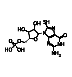 Nc1nc2c(nc(S)n2[C@@H]2O[C@H](COP(=O)(O)O)C(O)C2O)c(=O)[nH]1